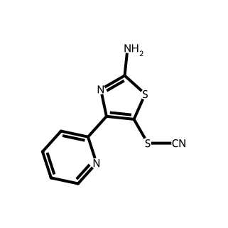 N#CSc1sc(N)nc1-c1ccccn1